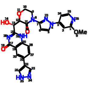 COc1cc(-n2ccc(N3CCO[C@H]([C@@H](O)c4nc(=O)c5cc(-c6cn[nH]c6)ccc5[nH]4)C3=O)n2)ccn1